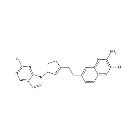 Nc1nc2cc(CCC3=CC(n4ccc5cnc(Cl)nc54)CC3)ccc2cc1Cl